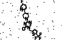 O=c1nc(N2CC=C(c3ccc(F)cn3)CC2)ncn1Cc1ccc(C(F)(F)F)s1